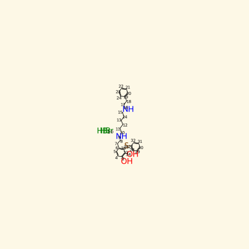 Br.Br.Oc1ccc(CCNCCCCCCNCCc2ccccc2)c(Sc2ccccc2)c1O